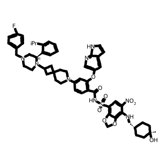 CC(C)c1ccccc1[C@@H]1CN(Cc2ccc(F)cc2)CCN1C1CC2(CCN(c3ccc(C(=O)NS(=O)(=O)c4cc([N+](=O)[O-])c(NC[C@H]5CC[C@](C)(O)CC5)c5c4OCO5)c(Oc4cnc5[nH]ccc5c4)c3)CC2)C1